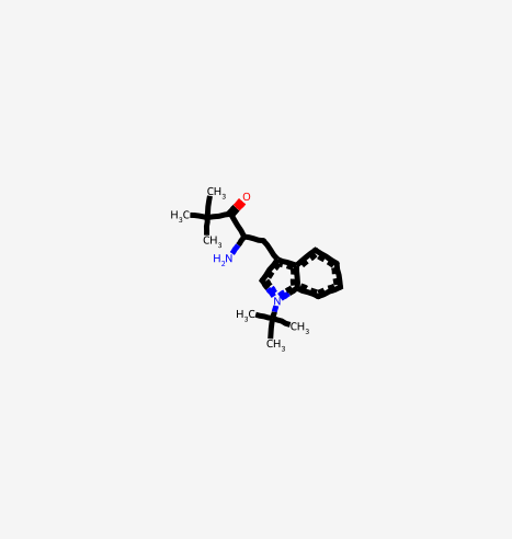 CC(C)(C)C(=O)C(N)Cc1cn(C(C)(C)C)c2ccccc12